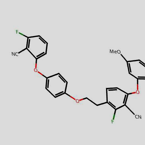 COc1cccc(Oc2ccc(CCOc3ccc(Oc4cccc(F)c4C#N)cc3)c(F)c2C#N)c1